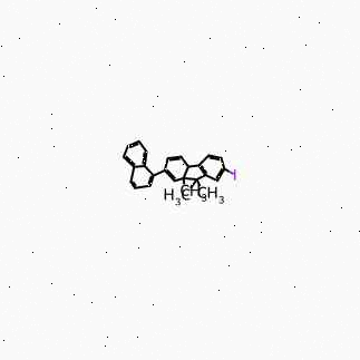 CC1(C)c2cc(I)ccc2C2C=CC(c3cccc4ccccc34)=CC21C